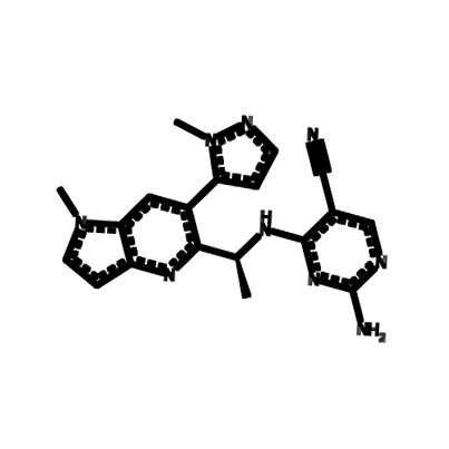 C[C@H](Nc1nc(N)ncc1C#N)c1nc2ccn(C)c2cc1-c1ccnn1C